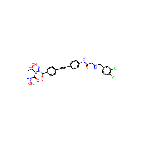 C[C@@H](O)[C@H](NC(=O)c1ccc(C#Cc2ccc(NC(=O)CNCc3ccc(Cl)c(Cl)c3)cc2)cc1)C(=O)NO